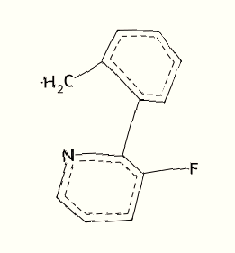 [CH2]c1ccccc1-c1ncccc1F